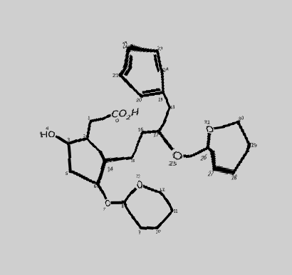 O=C(O)CC1C(O)CC(OC2CCCCO2)C1CCC(Cc1ccccc1)OC1CCCCO1